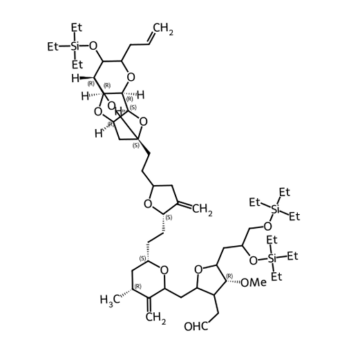 C=CCC1O[C@H]2[C@H]3O[C@]4(CCC5CC(=C)[C@H](CC[C@H]6C[C@@H](C)C(=C)C(CC7OC(CC(CO[Si](CC)(CC)CC)O[Si](CC)(CC)CC)[C@H](OC)C7CC=O)O6)O5)C[C@H]3O[C@H]2[C@@H](O4)C1O[Si](CC)(CC)CC